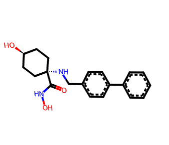 O=C(NO)[C@]1(NCc2ccc(-c3ccccc3)cc2)CC[C@H](O)CC1